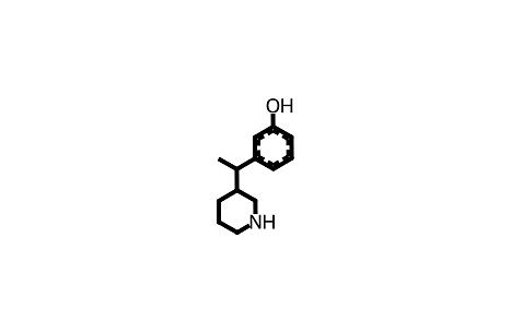 CC(c1cccc(O)c1)C1CCCNC1